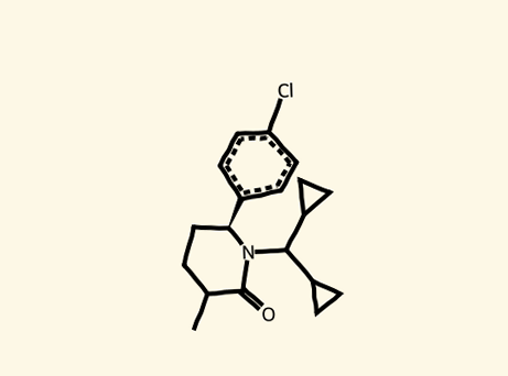 CC1CC[C@@H](c2ccc(Cl)cc2)N(C(C2CC2)C2CC2)C1=O